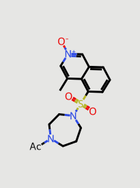 CC(=O)N1CCCN(S(=O)(=O)c2cccc3c[n+]([O-])cc(C)c23)CC1